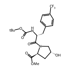 COC(=O)[C@@H]1C[C@@H](O)CN1C(=O)[C@@H](Cc1ccc(C(F)(F)F)cc1)NC(=O)OC(C)(C)C